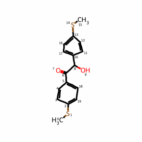 CSc1ccc(C(=O)C(O)c2ccc(SC)cc2)cc1